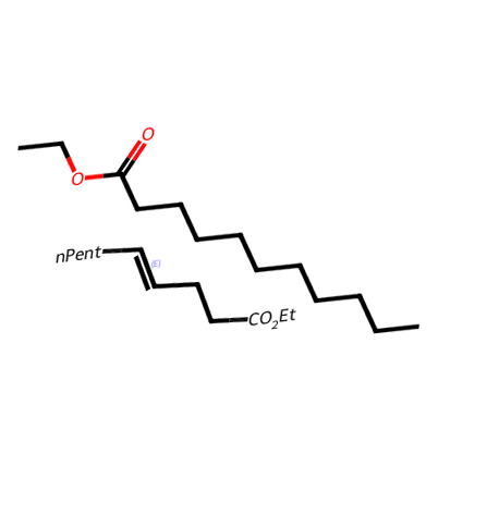 CCCCC/C=C/CCC(=O)OCC.CCCCCCCCCCC(=O)OCC